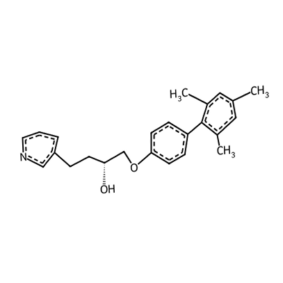 Cc1cc(C)c(-c2ccc(OC[C@H](O)CCc3cccnc3)cc2)c(C)c1